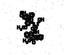 COC(=O)C(Cc1ccccc1)NC(=O)C(Cc1ccccc1)NC(=O)CN(CCCO)CCCOC(c1ccccc1)(c1ccc(OC)cc1)c1ccc(OC)cc1